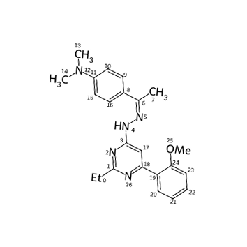 CCc1nc(NN=C(C)c2ccc(N(C)C)cc2)cc(-c2ccccc2OC)n1